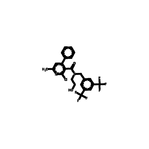 Cc1cc(-c2ccccc2)c(C(=O)N(CCO)Cc2cc(C(F)(F)F)cc(C(F)(F)F)c2)c(Cl)n1